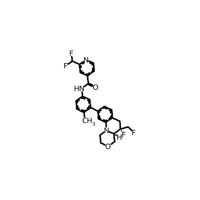 Cc1ccc(NC(=O)c2ccnc(C(F)F)c2)cc1-c1ccc2c(c1)N1CCOC[C@H]1[C@](F)(CF)C2